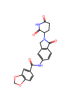 O=C1CCC(N2Cc3cc(NC(=O)c4ccc5c(c4)OCO5)ccc3C2=O)C(=O)N1